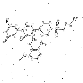 COc1cccc(OC)c1COc1c(N2CCN(S(=O)(=O)CCCF)CC2)cnn(-c2cc(F)cc(F)c2)c1=O